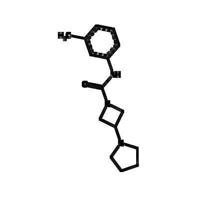 Cc1cccc(NC(=O)N2CC(N3CCCC3)C2)c1